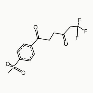 CS(=O)(=O)c1ccc(C(=O)CCC(=O)CC(F)(F)F)cc1